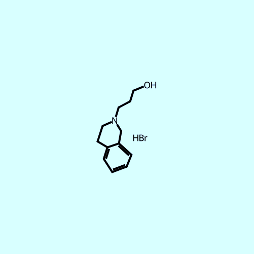 Br.OCCCN1CCc2ccccc2C1